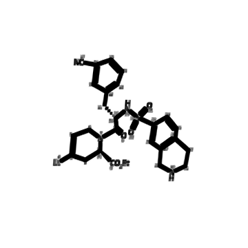 CCOC(=O)[C@H]1CC(CC)=CCN1C(=O)[C@H](Cc1cccc(C#N)c1)NS(=O)(=O)c1ccc2c(c1)CNCC2